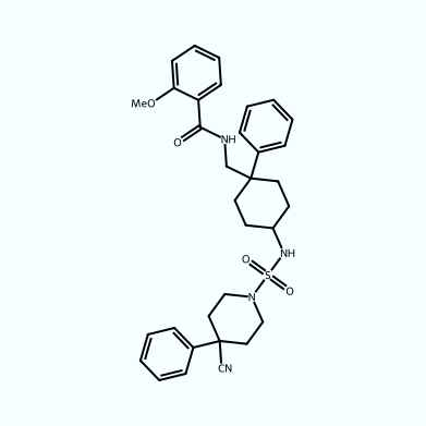 COc1ccccc1C(=O)NCC1(c2ccccc2)CCC(NS(=O)(=O)N2CCC(C#N)(c3ccccc3)CC2)CC1